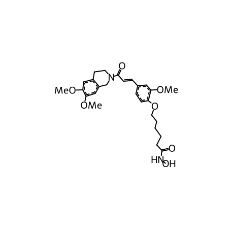 COc1cc2c(cc1OC)CN(C(=O)C=Cc1ccc(OCCCCCC(=O)NO)c(OC)c1)CC2